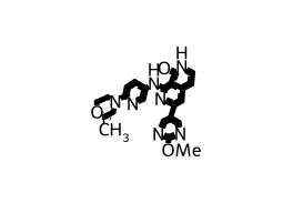 COc1ncc(-c2cc3cc[nH]c(=O)c3c(Nc3ccc(N4CCO[C@@H](C)C4)nc3)n2)cn1